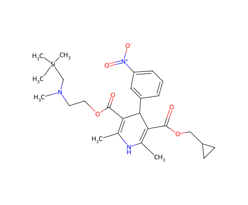 CC1=C(C(=O)OCCN(C)C[Si](C)(C)C)C(c2cccc([N+](=O)[O-])c2)C(C(=O)OCC2CC2)=C(C)N1